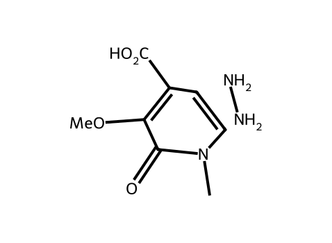 COc1c(C(=O)O)ccn(C)c1=O.NN